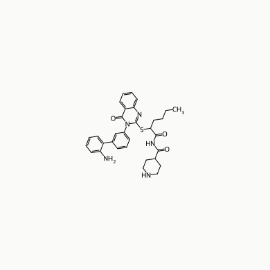 CCCCC(Sc1nc2ccccc2c(=O)n1-c1cccc(-c2ccccc2N)c1)C(=O)NC(=O)C1CCNCC1